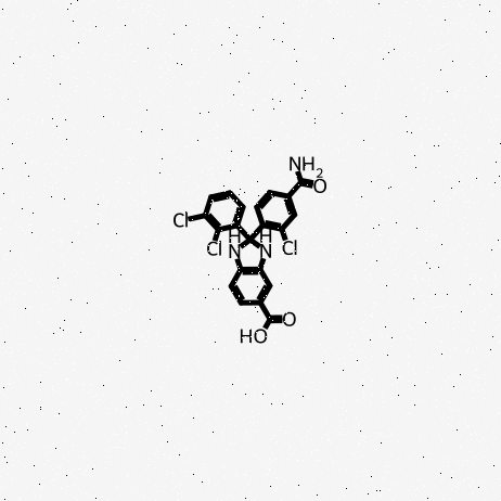 NC(=O)c1ccc(C2(c3cccc(Cl)c3Cl)Nc3ccc(C(=O)O)cc3N2)c(Cl)c1